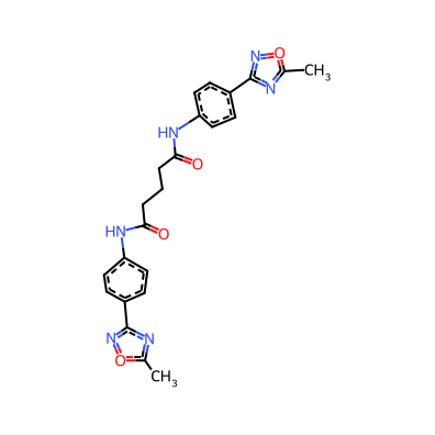 Cc1nc(-c2ccc(NC(=O)CCCC(=O)Nc3ccc(-c4noc(C)n4)cc3)cc2)no1